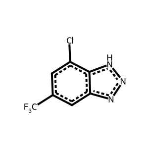 FC(F)(F)c1cc(Cl)c2[nH]nnc2c1